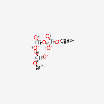 [Ba+2].[Ca+2].[O]=[Ti]([O-])[O-].[O]=[Ti]([O-])[O-].[O]=[Ti]([O-])[O-].[Sr+2]